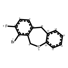 Fc1ccc2c(c1Br)CSc1ccccc1C2